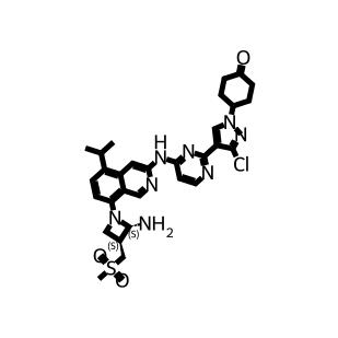 CC(C)c1ccc(N2C[C@H](CS(C)(=O)=O)[C@H]2N)c2cnc(Nc3ccnc(-c4cn(C5CCC(=O)CC5)nc4Cl)n3)cc12